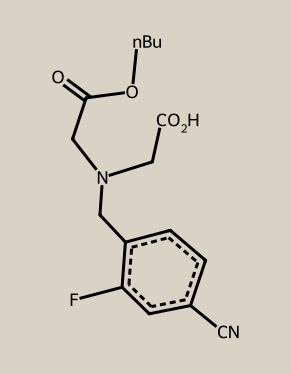 CCCCOC(=O)CN(CC(=O)O)Cc1ccc(C#N)cc1F